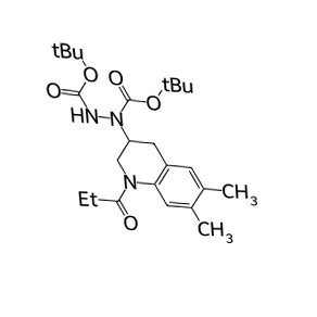 CCC(=O)N1CC(N(NC(=O)OC(C)(C)C)C(=O)OC(C)(C)C)Cc2cc(C)c(C)cc21